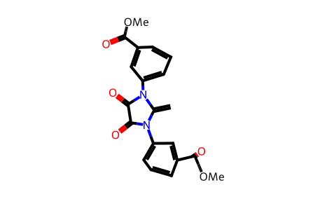 C=C1N(c2cccc(C(=O)OC)c2)C(=O)C(=O)N1c1cccc(C(=O)OC)c1